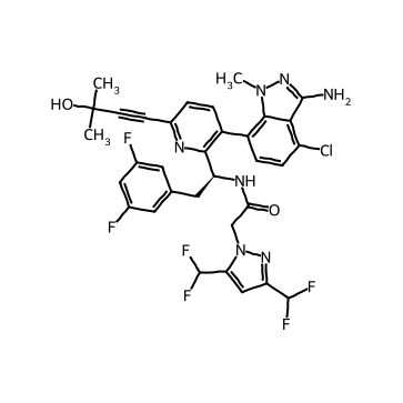 Cn1nc(N)c2c(Cl)ccc(-c3ccc(C#CC(C)(C)O)nc3[C@H](Cc3cc(F)cc(F)c3)NC(=O)Cn3nc(C(F)F)cc3C(F)F)c21